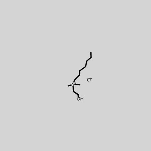 CCCCCCC[N+](C)(C)CCO.[Cl-]